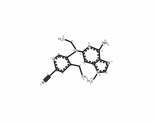 CCc1cc(C#N)ncc1N(CC)c1cc2c(ncn2C)c(N)n1